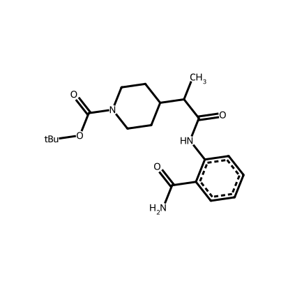 CC(C(=O)Nc1ccccc1C(N)=O)C1CCN(C(=O)OC(C)(C)C)CC1